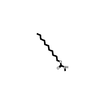 CCCCCCCCCCCOC(=O)NC